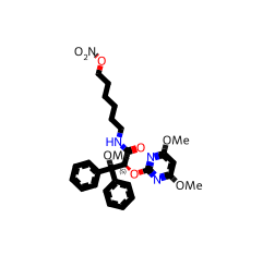 COc1cc(OC)nc(O[C@H](C(=O)NCCCCCCO[N+](=O)[O-])C(OC)(c2ccccc2)c2ccccc2)n1